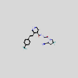 N#CC1CC(F)(F)CN1C(=O)CNC(=O)c1ccncc1C=Cc1ccc(C(F)(F)F)cc1